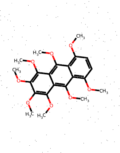 COc1c(OC)c(OC)c2c(OC)c3c(OC)ccc(OC)c3c(OC)c2c1OC